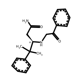 CC(C)(c1ccccc1)[C@@H](CC(N)=O)NCC(=O)c1ccccc1